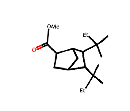 CCC(C)(C)C1C2CC(C(=O)OC)C(C2)C1C(C)(C)CC